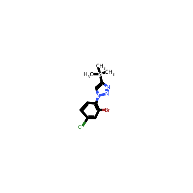 C[Si](C)(C)c1cn(-c2ccc(Cl)cc2Br)nn1